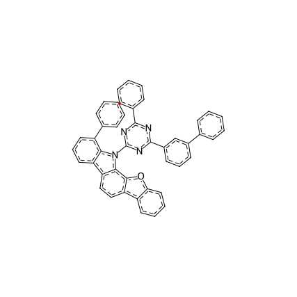 c1ccc(-c2cccc(-c3nc(-c4ccccc4)nc(-n4c5c(-c6ccccc6)cccc5c5ccc6c7ccccc7oc6c54)n3)c2)cc1